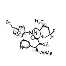 C\C=C(/N=C\C(=C/CC)C(F)(F)F)NCC1[C@H](C)CC(F)(F)CN1C(=O)C(=N)/C(=C\NC)c1cccnc1